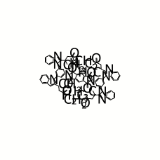 C=CC(=O)CC(C)c1cc2ccccc2n1-c1cc(-n2c(=O)c3cc4c(=O)n(-c5cc(-n6c(C(C)CC(=O)C=C)nc7ccccc76)cc(-n6c(C(C)CC(=O)C=C)nc7ccccc76)c5)c(=O)c4cc3c2=O)cc(-n2c(C(C)CC(=O)C=C)nc3ccccc32)c1